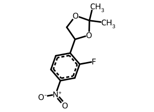 CC1(C)OCC(c2ccc([N+](=O)[O-])cc2F)O1